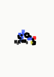 CN(C)c1ccnc(NC2CCC(CNC(=O)c3cccs3)CC2)n1